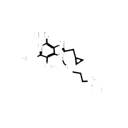 Cc1nc(N)c2nc(CC3CC3)n(CCCCC[S+](C)[O-])c2c1C